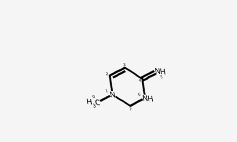 CN1C=CC(=N)NC1